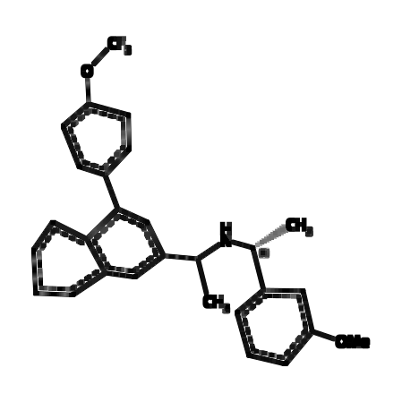 COc1cccc([C@@H](C)NC(C)c2cc(-c3ccc(OC(F)(F)F)cc3)c3ccccc3c2)c1